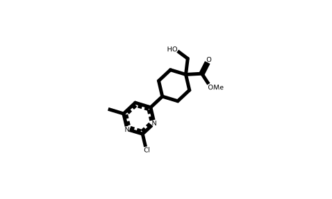 COC(=O)C1(CO)CCC(c2cc(C)nc(Cl)n2)CC1